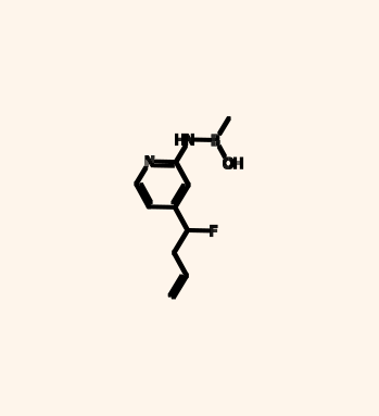 C=CCC(F)c1ccnc(NB(C)O)c1